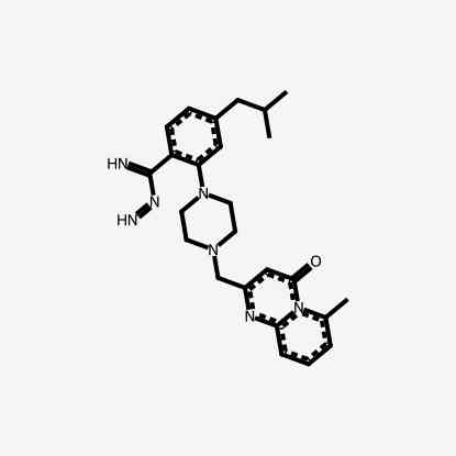 Cc1cccc2nc(CN3CCN(c4cc(CC(C)C)ccc4C(=N)N=N)CC3)cc(=O)n12